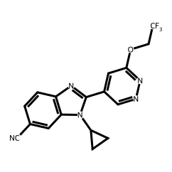 N#Cc1ccc2nc(-c3cnnc(OCC(F)(F)F)c3)n(C3CC3)c2c1